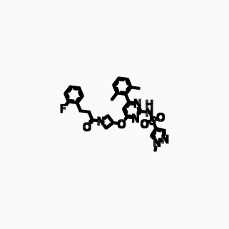 Cc1cccc(C)c1-c1cc(OC2CN(C(=O)CCc3ccccc3F)C2)nc(NS(=O)(=O)c2cnn(C)c2)n1